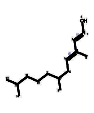 CC(/C=N/O)=C\CC(C)CCCC(C)C